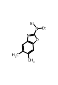 CCN(CC)c1nc2cc(C)c(C)cc2o1